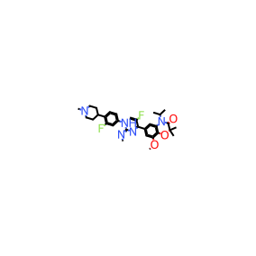 C=C(F)/C(=N\C(=N/C)Nc1ccc(C2CCN(C)CC2)c(F)c1)c1cc(OC)c2c(c1)N(C(C)C)C(=O)C(C)(C)O2